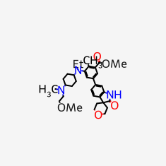 CCN(c1cc(-c2ccc3c(c2)NC(=O)C32CCOCC2)cc(C(=O)OC)c1C)C1CCC(N(C)CCOC)CC1